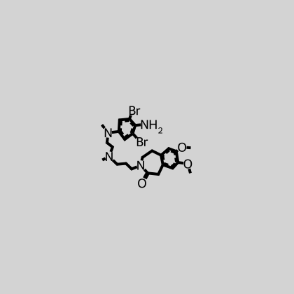 COc1cc2c(cc1OC)CC(=O)N(CCCN(C)CCN(C)c1cc(Br)c(N)c(Br)c1)CC2